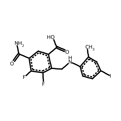 Cc1cc(I)ccc1NCc1c(C(=O)O)cc(C(N)=O)c(F)c1F